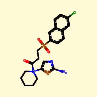 Nc1ncc([N+]2(C(=O)CCS(=O)(=O)c3ccc4cc(Cl)ccc4c3)CCCCC2)s1